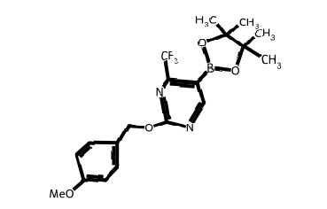 COc1ccc(COc2ncc(B3OC(C)(C)C(C)(C)O3)c(C(F)(F)F)n2)cc1